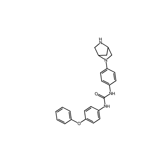 O=C(Nc1ccc(Oc2ccccc2)cc1)Nc1ccc(N2CC3CC2CN3)cc1